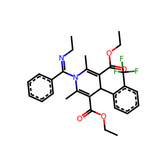 CCN=C(c1ccccc1)N1C(C)=C(C(=O)OCC)C(c2ccccc2C(F)(F)F)C(C(=O)OCC)=C1C